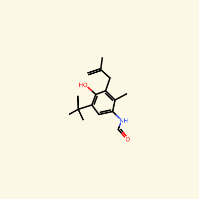 C=C(C)Cc1c(C)c(NC=O)cc(C(C)(C)C)c1O